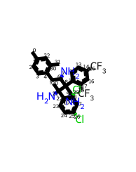 Cc1ccc(CC(N)C(CN)(c2ccc(C(F)(F)F)cc2C(F)(F)F)C(C)(N)c2ccc(Cl)cc2Cl)c(C)c1